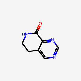 O=C1NCCc2cncnc21